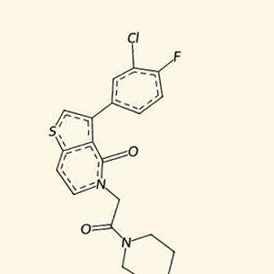 O=C(Cn1ccc2scc(-c3ccc(F)c(Cl)c3)c2c1=O)N1CCOCC1